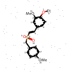 CCOc1ccc(C=CS(=O)(=O)Cc2ccc(OC)cc2)cc1OC